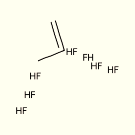 C=CC.F.F.F.F.F.F.F